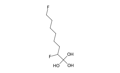 OC(O)(O)C(F)CCCCCCF